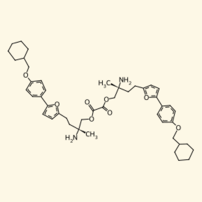 C[C@@](N)(CCc1ccc(-c2ccc(OCC3CCCCC3)cc2)o1)COC(=O)C(=O)OC[C@](C)(N)CCc1ccc(-c2ccc(OCC3CCCCC3)cc2)o1